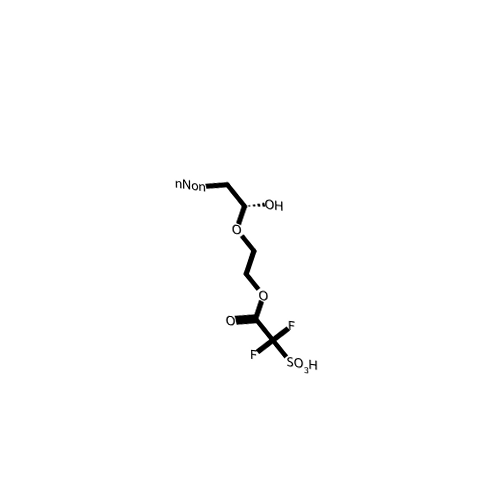 CCCCCCCCCC[C@H](O)OCCOC(=O)C(F)(F)S(=O)(=O)O